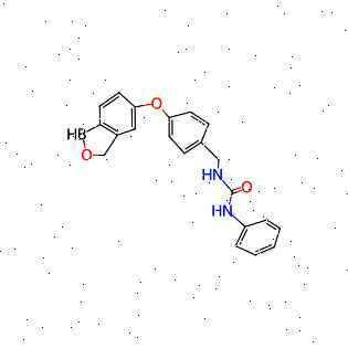 O=C(NCc1ccc(Oc2ccc3c(c2)COB3)cc1)Nc1ccccc1